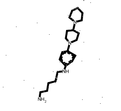 NCCCCCNc1ccc(N2CCC(N3CCCCC3)CC2)cc1